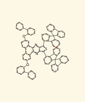 c1ccc(-c2ccccc2Oc2ccc3c4ccc(Oc5ccccc5-c5ccccc5)cc4c4nc5c(-c6cccc7c6-c6ccccc6C76c7ccccc7-c7ccccc76)sc(-c6cccc7c6-c6ccccc6C76c7ccccc7-c7ccccc76)c5nc4c3c2)cc1